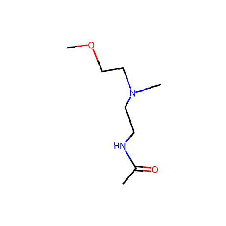 COCCN(C)CCNC(C)=O